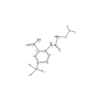 CC(C)CNC(=O)Nc1ccc(C(F)(F)F)cc1C(=O)O